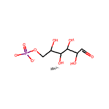 O=CC(O)C(O)C(O)C(O)COP(=O)([O-])[O-].[Mn+2]